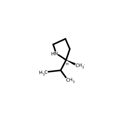 [CH2][C@]1(C(C)C)CCCN1